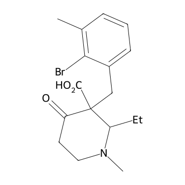 CCC1N(C)CCC(=O)C1(Cc1cccc(C)c1Br)C(=O)O